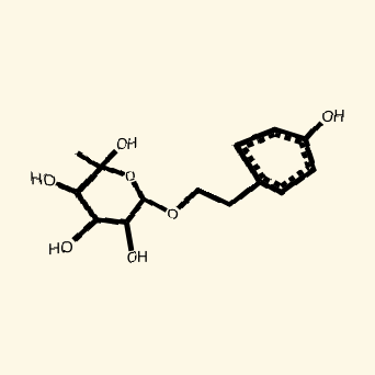 CC1(O)OC(OCCc2ccc(O)cc2)C(O)C(O)C1O